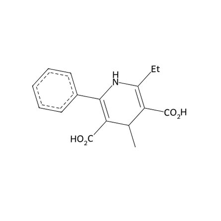 CCC1=C(C(=O)O)C(C)C(C(=O)O)=C(c2ccccc2)N1